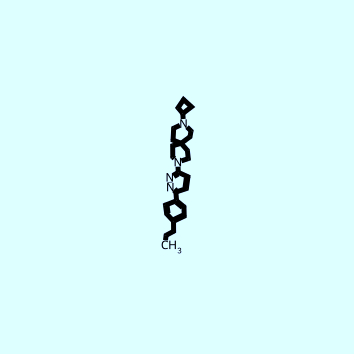 CCCc1ccc(-c2ccc(N3CCC4(CC3)CCN(C3CCC3)CC4)nn2)cc1